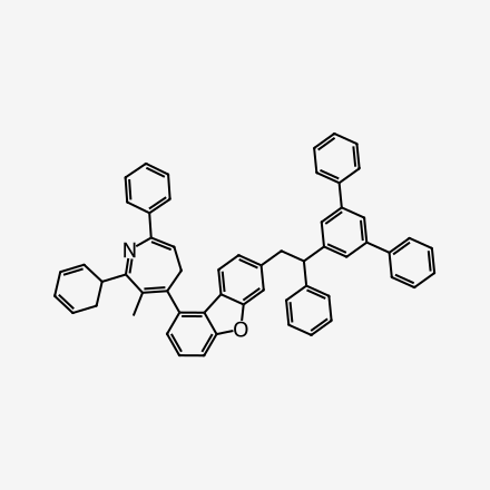 CC1=C(c2cccc3oc4cc(CC(c5ccccc5)c5cc(-c6ccccc6)cc(-c6ccccc6)c5)ccc4c23)CC=C(c2ccccc2)N=C1C1C=CC=CC1